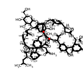 CC(C)C[C@H](N)C(=O)N[C@H]1C(=O)N[C@@H](CC(N)=O)C(=O)N[C@H]2C(=O)N[C@H]3C(=O)NC(C(=O)N[C@H](C(=O)O)c4cc(O)cc(O)c4-c4cc3ccc4O)[C@H](O)c3ccc(c(Cl)c3)Oc3cc2cc(c3OC2O[C@H](CO)[C@@H](O)[C@H](O)C2O[C@H]2C[C@](C)(NCc3ccc(-c4ccccc4)cc3)[C@H](O)[C@H](C)O2)Oc2ccc(cc2Cl)[C@H]1O